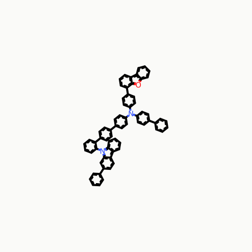 c1ccc(-c2ccc(N(c3ccc(-c4ccc(-c5ccccc5-n5c6ccccc6c6ccc(-c7ccccc7)cc65)cc4)cc3)c3ccc(-c4cccc5c4oc4ccccc45)cc3)cc2)cc1